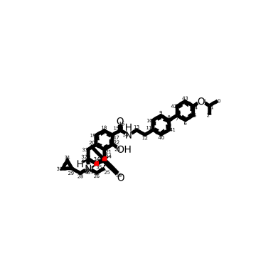 CC(C)Oc1ccc(-c2ccc(CCNC(=O)c3ccc4c(c3O)[C@]35CCN(CC6CC6)[C@H](C4)[C@@H]3CCC(=O)C5)cc2)cc1